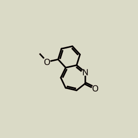 COc1cccc2nc(=O)cccc12